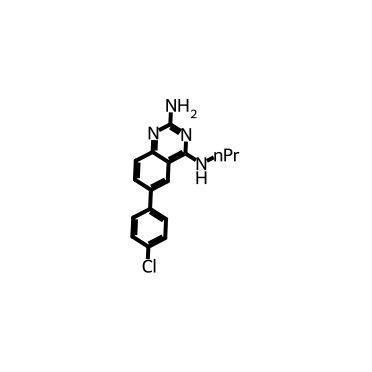 CCCNc1nc(N)nc2ccc(-c3ccc(Cl)cc3)cc12